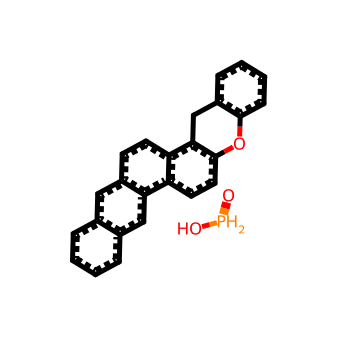 O=[PH2]O.c1ccc2c(c1)Cc1c(ccc3c1ccc1cc4ccccc4cc13)O2